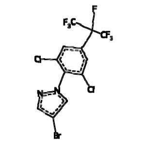 FC(F)(F)C(F)(c1cc(Cl)c(-n2cc(Br)cn2)c(Cl)c1)C(F)(F)F